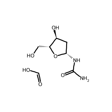 NC(=O)N[C@H]1C[C@H](O)[C@@H](CO)O1.O=CO